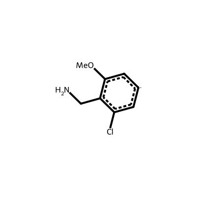 COc1c[c]cc(Cl)c1CN